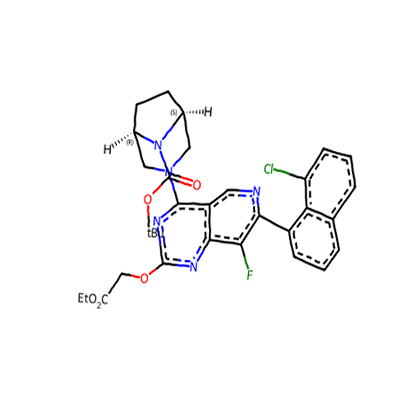 CCOC(=O)COc1nc(N2C[C@H]3CC[C@@H](C2)N3C(=O)OC(C)(C)C)c2cnc(-c3cccc4cccc(Cl)c34)c(F)c2n1